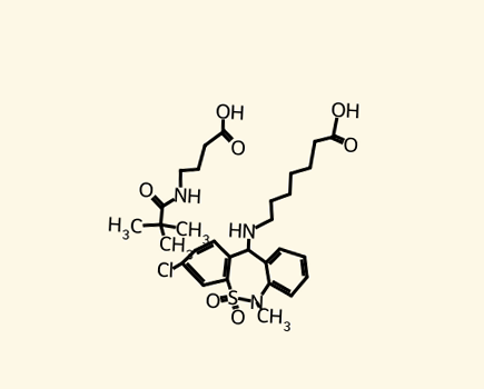 CC(C)(C)C(=O)NCCCC(=O)O.CN1c2ccccc2C(NCCCCCCC(=O)O)c2ccc(Cl)cc2S1(=O)=O